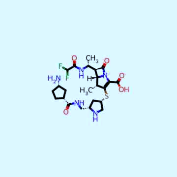 C[C@@H](NC(=O)C(F)F)[C@H]1C(=O)N2C(C(=O)O)=C(S[C@@H]3CN[C@H](CNC(=O)[C@@H]4CC[C@H](N)C4)C3)[C@H](C)[C@H]12